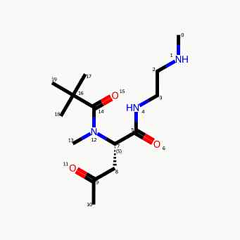 CNCCNC(=O)[C@H](CC(C)=O)N(C)C(=O)C(C)(C)C